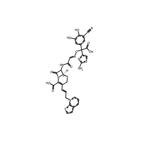 N#Cc1cc(C(ON=CC(=O)NC2C(=O)N3C(C(=O)O)=C(C=CC[n+]4cccc5ccsc54)CS[C@H]23)(C(=O)O)c2csc(N)n2)cc(O)c1O